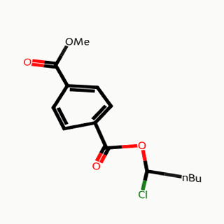 CCCCC(Cl)OC(=O)c1ccc(C(=O)OC)cc1